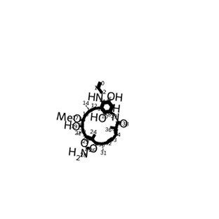 C=CCNc1c(O)cc2c(O)c1C[C@@H](C)C[C@H](OC)[C@H](O)[C@@H](C)/C=C(\C)[C@H](OC(N)=O)[C@@H](C)/C=C\C=C(/C)C(=O)N2